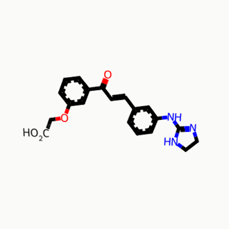 O=C(O)COc1cccc(C(=O)/C=C/c2cccc(NC3=NCCN3)c2)c1